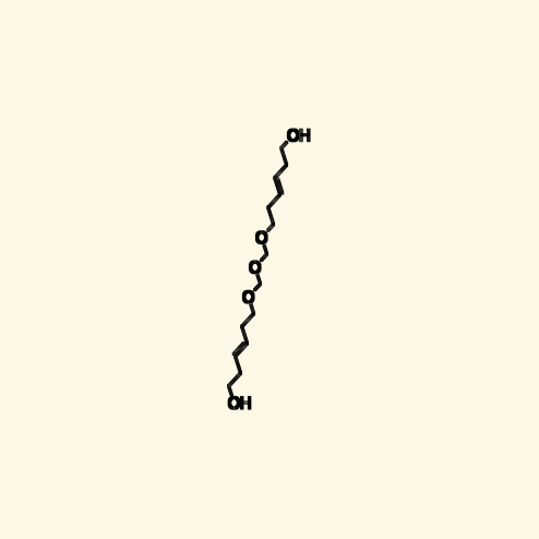 OCCC=CCCOCOCOCCC=CCCO